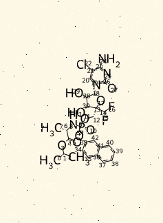 CC(C)OC(=O)[C@H](C)NP(=O)(OC[C@@]1(C(F)F)O[C@@H](n2cc(Cl)c(N)nc2=O)[C@H](O)[C@@H]1O)Oc1ccc2ccccc2c1